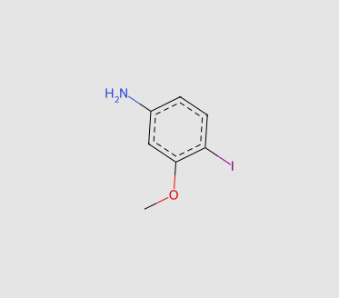 COc1cc(N)ccc1I